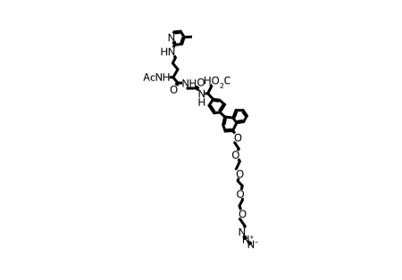 CC(=O)NC(CCCNc1cc(C)ccn1)C(=O)NCC(=O)NC(CC(=O)O)c1ccc(-c2ccc(OCCOCCOCCOCCOCCN=[N+]=[N-])c3ccccc23)cc1